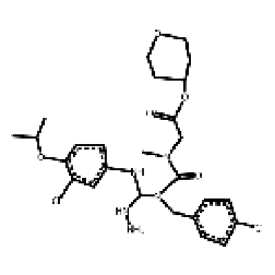 CC(C)Oc1ccc(NC(NN)N(Cc2ccc(Cl)cc2)C(=O)N(C)CC(=O)OC2CCOCC2)cc1Cl